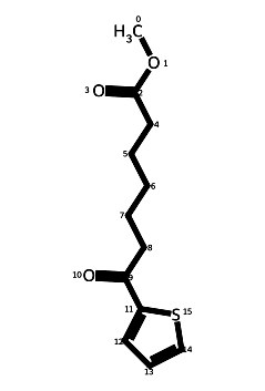 COC(=O)CCCCCC(=O)c1cccs1